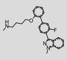 CNCCCCOc1ccccc1-c1ccc(-c2nn(C)c3ccccc23)c(F)c1